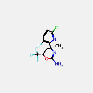 C[C@@]1(c2nc(Cl)ccc2F)C[C@@H](C(F)(F)F)OC(N)=N1